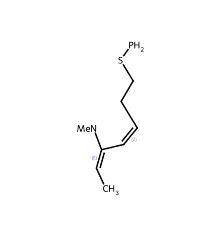 C/C=C(\C=C/CCSP)NC